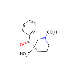 O=C(O)N1CCCC(C(=O)O)(C(=O)c2ccccc2)C1